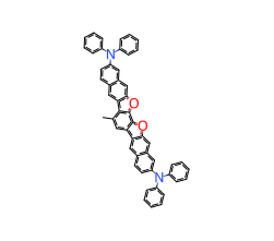 Cc1cc2c3cc4ccc(N(c5ccccc5)c5ccccc5)cc4cc3oc2c2oc3cc4cc(N(c5ccccc5)c5ccccc5)ccc4cc3c12